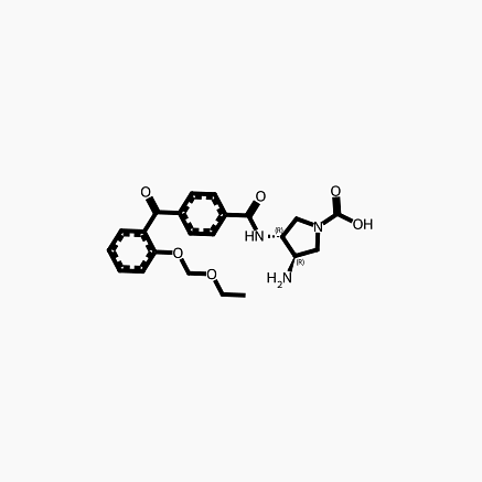 CCOCOc1ccccc1C(=O)c1ccc(C(=O)N[C@@H]2CN(C(=O)O)C[C@H]2N)cc1